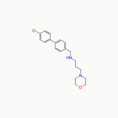 Clc1ccc(-c2ccc(CNCCCN3CCOCC3)cc2)cc1